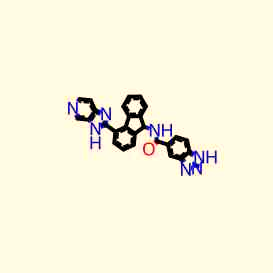 O=C(NC1c2ccccc2-c2c(-c3nc4ccncc4[nH]3)cccc21)c1ccc2[nH]nnc2c1